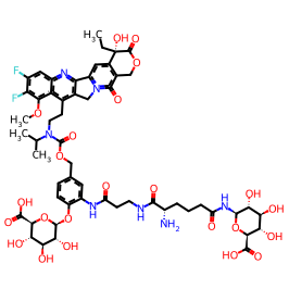 CC[C@@]1(O)C(=O)OCc2c1cc1n(c2=O)Cc2c-1nc1cc(F)c(F)c(OC)c1c2CCN(C(=O)OCc1ccc(O[C@@H]2O[C@H](C(=O)O)[C@@H](O)[C@H](O)[C@H]2O)c(NC(=O)CCNC(=O)[C@@H](N)CCCC(=O)N[C@@H]2O[C@H](C(=O)O)[C@@H](O)[C@H](O)[C@H]2O)c1)C(C)C